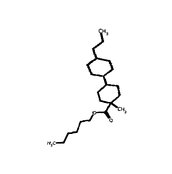 CCCCCCOC(=O)C1(C)CCC(C2CCC(CCC)CC2)CC1